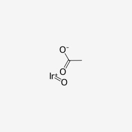 CC(=O)[O-].[O]=[Ir+]